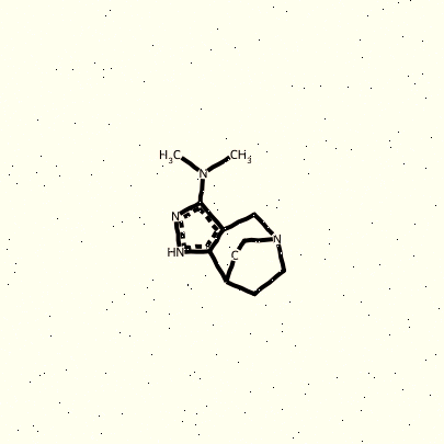 CN(C)c1n[nH]c2c1CN1CCC2CC1